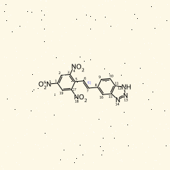 O=[N+]([O-])c1cc([N+](=O)[O-])c(/C=C/c2ccc3[nH]nnc3c2)c([N+](=O)[O-])c1